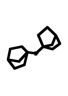 [B](C12CCC(CC1)C2)C12CCC(CC1)C2